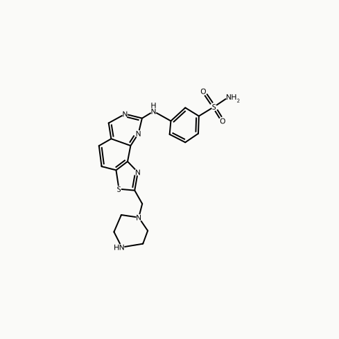 NS(=O)(=O)c1cccc(Nc2ncc3ccc4sc(CN5CCNCC5)nc4c3n2)c1